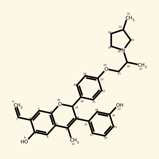 C=Cc1cc2c(cc1O)C(C)=C(c1cccc(O)c1)C(c1ccc(OCC(C)N3CCC(C)C3)cc1)O2